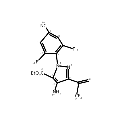 C=C(c1nn(-c2c(F)cc(C#N)cc2F)c(C(=O)OCC)c1N)C(F)(F)F